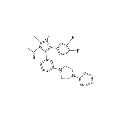 C=C(C)c1c(-c2cccc(N3CCN(c4ccccc4)CC3)c2)c(-c2ccc(F)c(F)c2)n(C)c1C